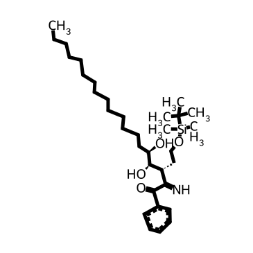 CCCCCCCCCCCCCC[C@@H](O)[C@@H](O)[C@H](CCO[Si](C)(C)C(C)(C)C)C(=N)C(=O)c1ccccc1